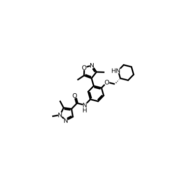 Cc1noc(C)c1-c1cc(NC(=O)c2cnn(C)c2C)ccc1OC[C@H]1CCCCN1